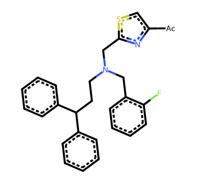 CC(=O)c1csc(CN(CCC(c2ccccc2)c2ccccc2)Cc2ccccc2F)n1